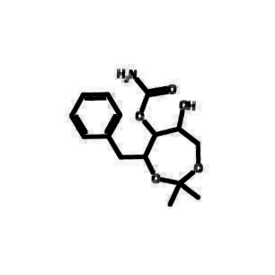 CC1(C)OCC(O)C(OC(N)=O)C(Cc2ccccc2)O1